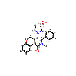 CN(C(=O)C1CCOc2ccccc21)[C@H](CN1CC[C@H](O)C1)c1ccccc1